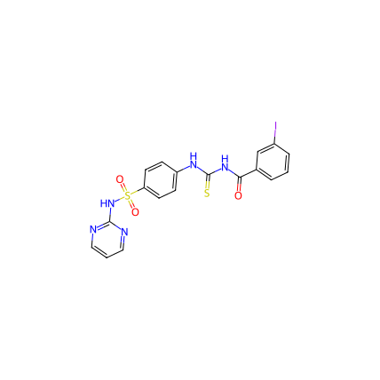 O=C(NC(=S)Nc1ccc(S(=O)(=O)Nc2ncccn2)cc1)c1cccc(I)c1